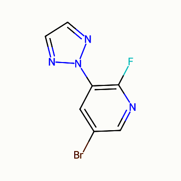 Fc1ncc(Br)cc1-n1nccn1